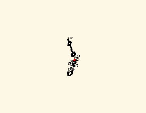 C[C@@](CC1CN(c2ccc(C#CC3CC(CC#N)C3)cc2)C(=O)O1)(C(=O)NOC1CCCCO1)S(C)(=O)=O